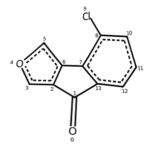 O=C1c2cocc2-c2c(Cl)cccc21